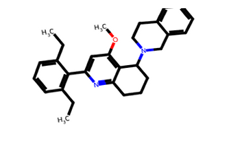 CCc1cccc(CC)c1-c1cc(OC)c2c(n1)CCCC2N1CCc2ccccc2C1